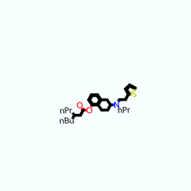 CCCCC(CCC)CC(=O)Oc1cccc2c1CCC(N(CCC)CCc1cccs1)C2